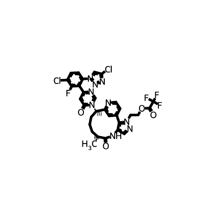 C[C@@H]1CCC[C@H](n2cnc(-c3c(-n4cc(Cl)nn4)ccc(Cl)c3F)cc2=O)c2cc(ccn2)-c2c(cnn2CCOC(=O)C(F)(F)F)NC1=O